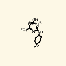 CNc1nc(N)nc(NC2CCC(OC)CC2)n1